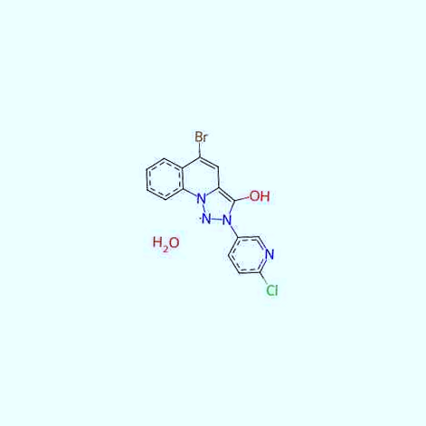 O.OC1=C2C=C(Br)c3ccccc3N2[N]N1c1ccc(Cl)nc1